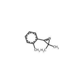 Cc1ccccc1C1=NC1(C)C